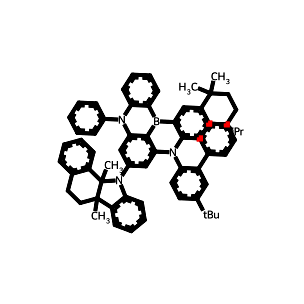 CC(C)C1CCC(C)(C)c2cc3c(cc21)N(c1ccc(C(C)(C)C)cc1-c1ccccc1)c1cc(N2c4ccccc4C4(C)CCc5ccccc5C24C)cc2c1B3c1ccccc1N2c1ccccc1